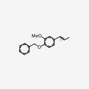 C/C=C/c1ccc(OCc2ccccc2)c(OC)c1